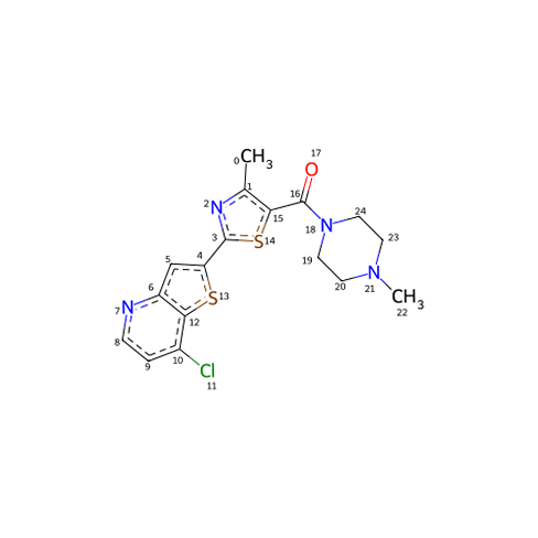 Cc1nc(-c2cc3nccc(Cl)c3s2)sc1C(=O)N1CCN(C)CC1